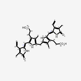 C=CC1=C(C)C(=O)N/C1=C\c1[nH]c(Cc2[nH]c(/C=C3\NC(=O)C(C)=C3C=C)c(CCC(=O)O)c2C)c(C)c1CCC(=O)O